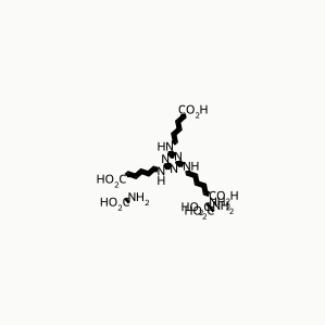 NC(=O)O.NC(=O)O.NC(=O)O.O=C(O)CCCCCNc1nc(NCCCCCC(=O)O)nc(NCCCCCC(=O)O)n1